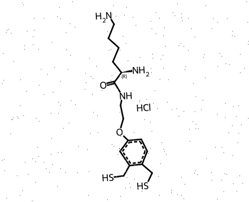 Cl.NCCCC[C@@H](N)C(=O)NCCOc1ccc(CS)c(CS)c1